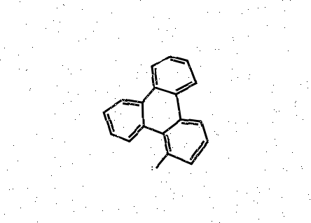 [CH]c1cccc2c3ccccc3c3ccccc3c12